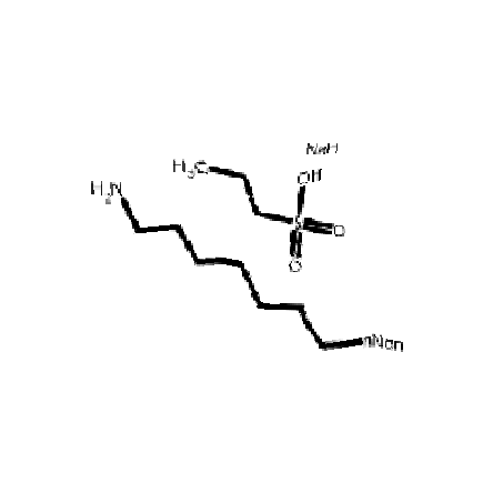 CCCCCCCCCCCCCCCCN.CCCS(=O)(=O)O.[NaH]